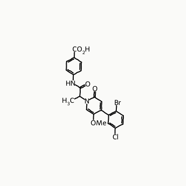 COc1cn(C(C)C(=O)Nc2ccc(C(=O)O)cc2)c(=O)cc1-c1cc(Cl)ccc1Br